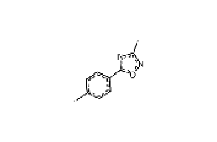 [CH2]c1ccc(-c2nc(C)no2)cc1